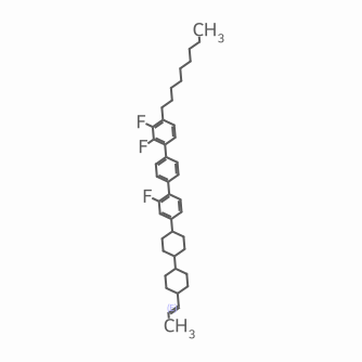 C/C=C/C1CCC(C2CCC(c3ccc(-c4ccc(-c5ccc(CCCCCCCCC)c(F)c5F)cc4)c(F)c3)CC2)CC1